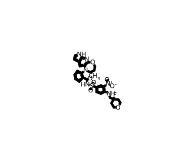 CC1CCOc2nc3[nH]ccc3cc2N1c1ccccc1C(=O)NS(=O)(=O)c1ccc(NCC2(F)CCOCC2)c([N+](=O)[O-])c1